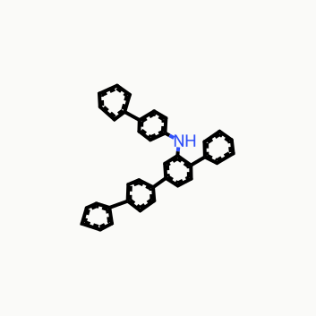 c1ccc(-c2ccc(Nc3cc(-c4ccc(-c5ccccc5)cc4)ccc3-c3ccccc3)cc2)cc1